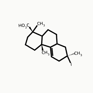 C[C@]1(I)CC=C2C(CCC3[C@](C)(C(=O)O)CCC[C@@]23C)C1